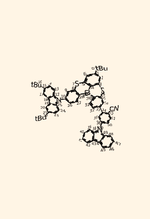 CC(C)(C)c1cc2c3c(c1)Sc1cc(-n4c5ccc(C(C)(C)C)cc5c5cc(C(C)(C)C)ccc54)ccc1B3c1ccc(-c3cc(-n4c5ccccc5c5ccccc54)ccc3C#N)cc1S2